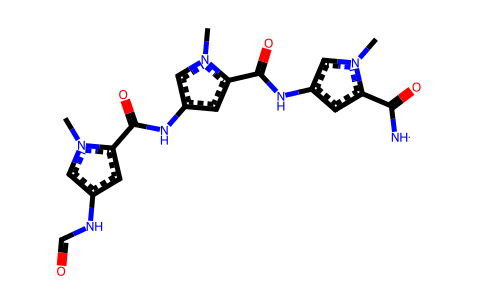 Cn1cc(NC(=O)c2cc(NC(=O)c3cc(NC=O)cn3C)cn2C)cc1C([NH])=O